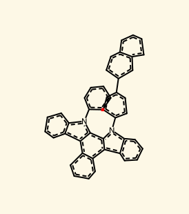 c1ccc(-n2c3ccccc3c3c4ccccc4c4c5ccccc5n(-c5ccc(-c6ccc7ccccc7c6)cc5)c4c32)cc1